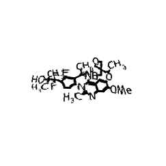 COc1cc2nc(C)nc(N[C@H](C)c3cccc(C(F)(F)C(C)(C)O)c3F)c2cc1OC(C)C1(COI)COC1